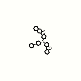 c1ccc(-c2ccc(N(c3ccc4oc5ccccc5c4c3)c3ccc4sc5cc6ccccc6cc5c4c3)cc2)cc1